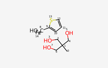 CC(CO)(CO)CO.O=C(O)c1cccs1.[Fe]